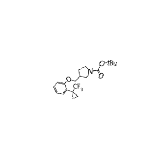 CC(C)(C)OC(=O)N1CCC(COc2ccccc2C2(C(F)(F)F)CC2)C1